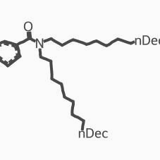 CCCCCCCCCCCCCCCCCCN(CCCCCCCCCCCCCCCCCC)C(=O)c1ccccc1